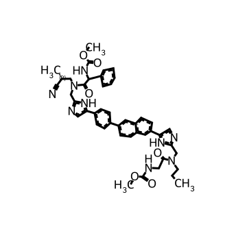 CCCN(Cc1ncc(-c2ccc3cc(-c4ccc(-c5cnc(CN(C[C@@H](C)C#N)C(=O)C(NC(=O)OC)c6ccccc6)[nH]5)cc4)ccc3c2)[nH]1)C(=O)CNC(=O)OC